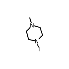 CN1CCN(I)CC1